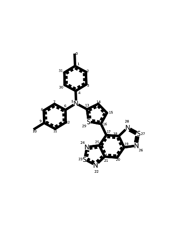 Cc1ccc(N(c2ccc(C)cc2)c2ccc(-c3c4c(cc5nsnc35)N=S=N4)s2)cc1